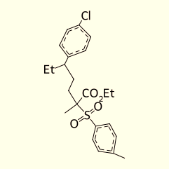 CCOC(=O)C(C)(CCC(CC)c1ccc(Cl)cc1)S(=O)(=O)c1ccc(C)cc1